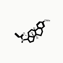 C=CC(=O)N(C)C1CC[C@H]2[C@@H]3CCc4cc(OC)ccc4[C@H]3CC[C@]12C